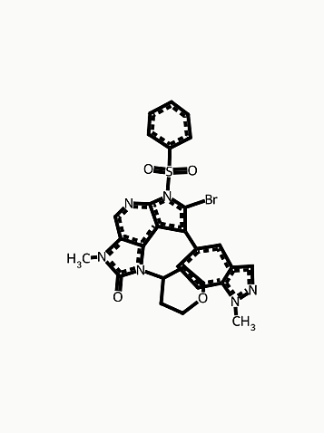 Cn1ncc2cc(-c3c(Br)n(S(=O)(=O)c4ccccc4)c4ncc5c(c34)n(C3CCOCC3)c(=O)n5C)ccc21